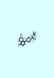 C[C@@H]1CN(c2ccc(F)c3c2CNCC3)CCN1C(=O)OC(C)(C)C